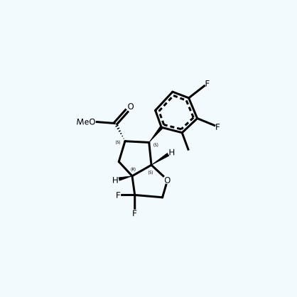 COC(=O)[C@H]1C[C@@H]2[C@@H](OCC2(F)F)[C@@H]1c1ccc(F)c(F)c1C